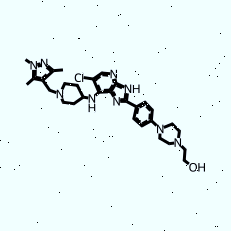 Cc1nn(C)c(C)c1CN1CCC(Nc2c(Cl)cnc3[nH]c(-c4ccc(N5CCN(CCO)CC5)cc4)nc23)CC1